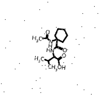 CC(=O)NC1(C(=O)NC(C(=O)O)C(C)C)CCCCC1